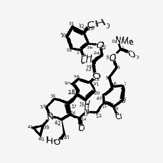 CNC(=O)OCCc1ccc(Cl)c(CNC(=O)C2=C(c3ccc(OCCOc4c(C)cccc4C)cc3)CCN(C3CC3)[C@@H]2CO)c1